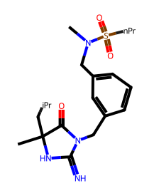 CCCS(=O)(=O)N(C)Cc1cccc(CN2C(=N)NC(C)(CC(C)C)C2=O)c1